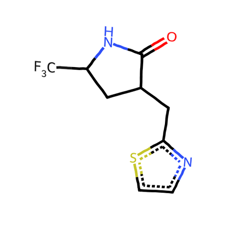 O=C1NC(C(F)(F)F)CC1Cc1nccs1